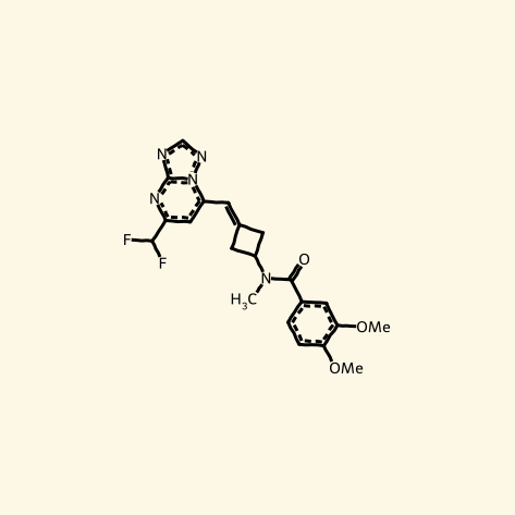 COc1ccc(C(=O)N(C)C2CC(=Cc3cc(C(F)F)nc4ncnn34)C2)cc1OC